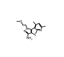 COCCn1nc(N)c2sc3nc(C)cc(C)c3c21